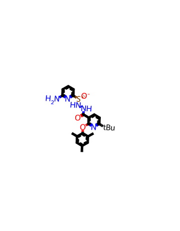 Cc1cc(C)c(Oc2nc(C(C)(C)C)ccc2C(=O)NN[S+]([O-])c2cccc(N)n2)c(C)c1